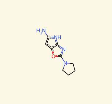 Nc1cc2oc(N3CCCC3)nc2[nH]1